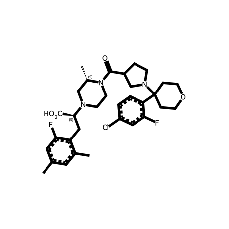 Cc1cc(C)c(C[C@@H](C(=O)O)N2CCN(C(=O)C3CCN(C4(c5ccc(Cl)cc5F)CCOCC4)C3)[C@@H](C)C2)c(F)c1